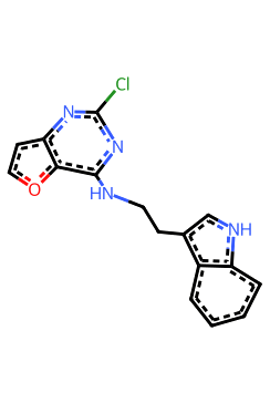 Clc1nc(NCCc2c[nH]c3ccccc23)c2occc2n1